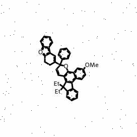 CCC1(CC)c2ccccc2-c2c1c1c(c3cc(OC)ccc23)OC(C2=Cc3c(oc4ccccc34)CC2)(c2ccccc2)C=C1